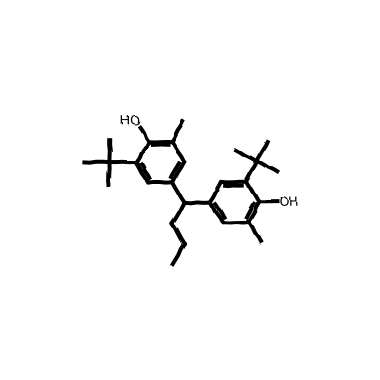 CCC[C](c1cc(C)c(O)c(C(C)(C)C)c1)c1cc(C)c(O)c(C(C)(C)C)c1